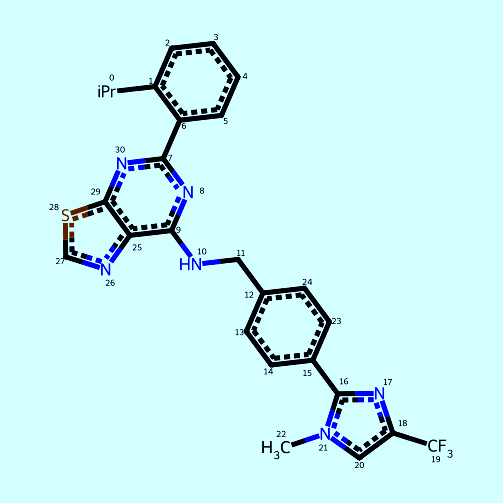 CC(C)c1ccccc1-c1nc(NCc2ccc(-c3nc(C(F)(F)F)cn3C)cc2)c2ncsc2n1